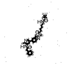 Cc1ncc(-c2ccc3nc(N(C)C(=O)CCCCCNC(=O)OC(C)(C)C)sc3c2)cc1NC(=O)Cc1ccccc1